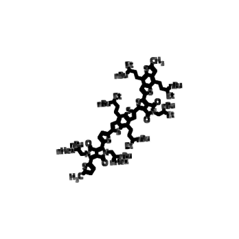 CCCCCCC(CCCC)CN1C(=O)C2=C(c3ccc(-c4cc5c(CCC(CC)CCCC)c6sc(-c7sc(-c8cc9c(CCC(CC)CCCC)c%10sc(C)cc%10c(CCC(CC)CCCC)c9s8)c8c7C(=O)N(CC(CC)CCCC)C8=O)cc6c(CCC(CC)CCCC)c5s4)s3)N(CC(CCCC)CCCCCC)C(=O)C2=C1c1ccc(C)s1